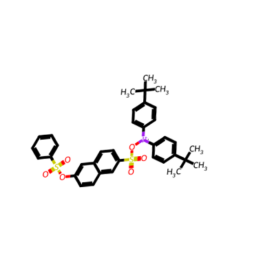 CC(C)(C)c1ccc([I+](OS(=O)(=O)c2ccc3cc(OS(=O)(=O)c4ccccc4)ccc3c2)c2ccc(C(C)(C)C)cc2)cc1